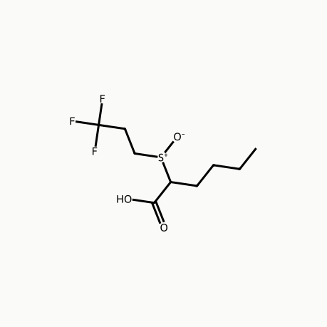 CCCCC(C(=O)O)[S+]([O-])CCC(F)(F)F